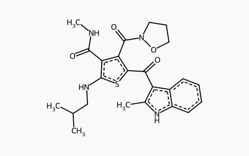 CNC(=O)c1c(NCC(C)C)sc(C(=O)c2c(C)[nH]c3ccccc23)c1C(=O)N1CCCO1